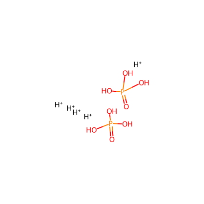 O=P(O)(O)O.O=P(O)(O)O.[H+].[H+].[H+].[H+].[H+]